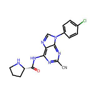 N#Cc1nc(NC(=O)[C@@H]2CCCN2)c2ncn(-c3ccc(Cl)cc3)c2n1